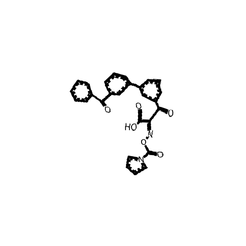 O=C(O)/C(=N\OC(=O)n1cccc1)C(=O)c1cccc(-c2cccc(C(=O)c3ccccc3)c2)c1